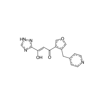 O=C(C=C(O)c1nc[nH]n1)c1cocc1Cc1ccncc1